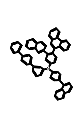 c1ccc(-c2ccc(-c3cccc(N(c4ccc(-c5cccc6ccccc56)cc4)c4ccc(-c5cc6ccccc6c6ccccc56)c(-c5ccc6ccccc6c5)c4)c3)cc2)cc1